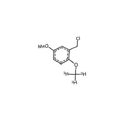 [2H]C([2H])([2H])Oc1ccc(OC)cc1CCl